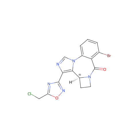 O=C1c2c(Br)cccc2-n2cnc(-c3noc(CCl)n3)c2[C@@H]2CCN12